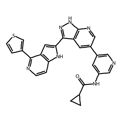 O=C(Nc1cncc(-c2cnc3[nH]nc(-c4cc5c(-c6ccsc6)nccc5[nH]4)c3c2)c1)C1CC1